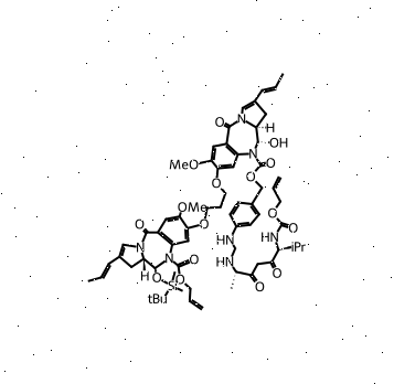 C=CCOC(=O)N[C@H](C(=O)CC(=O)[C@H](C)NCNc1ccc(COC(=O)N2c3cc(OCCCOc4cc5c(cc4OC)C(=O)N4C=C(/C=C/C)C[C@H]4[C@H](O[Si](C)(C)C(C)(C)C)N5C(=O)OCC=C)c(OC)cc3C(=O)N3C=C(/C=C/C)C[C@H]3[C@@H]2O)cc1)C(C)C